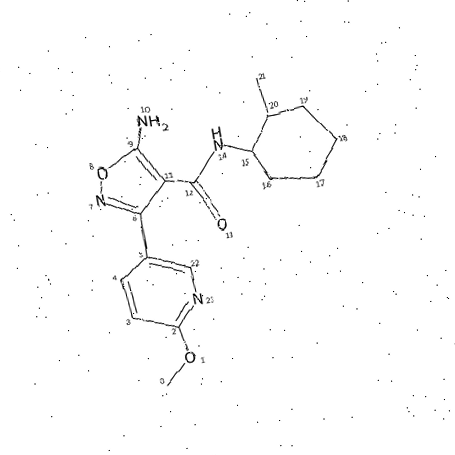 COc1ccc(-c2noc(N)c2C(=O)NC2CCCCC2C)cn1